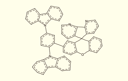 c1ccc2c(c1)Oc1ccc(-c3cc(-n4c5ccccc5c5ccccc54)ccc3-n3c4ccccc4c4ccccc43)cc1C21c2cccnc2-c2ncccc21